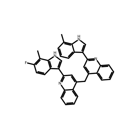 Cc1cccc2c(-c3cc(Cc4cc(-c5c[nH]c6c(C)c(F)ccc56)nc5ccccc45)c4ccccc4n3)c[nH]c12